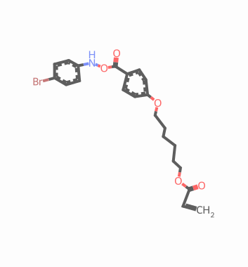 C=CC(=O)OCCCCCCOc1ccc(C(=O)ONc2ccc(Br)cc2)cc1